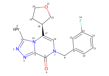 CCCc1nnc2c(=O)n(Cc3cccc(F)c3)cc([C@H]3CCOC3)n12